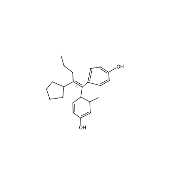 CCC/C(=C(\c1ccc(O)cc1)C1C=CC(O)=CC1C)C1CCCC1